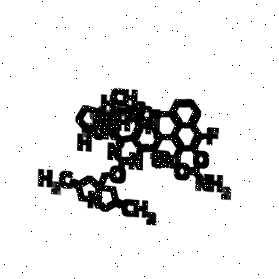 C#Cc1cccc2c(F)c(OC(N)=O)c(C(C)(C)C)c(-c3nc4c5c(nc(OCC67CC(=C)CN6CC(=C)C7)nc5c3F)N3C[C@H]5CC[C@H](N5)[C@H]3[C@H](C)O4)c12